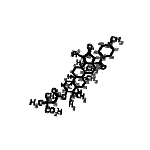 CC(C)C1=C2[C@H]3CC[C@@H]4[C@@]5(C)CC[C@H](OC(=O)CC(C)(C)C(=O)O)C(C)(C)[C@@H]5CC[C@@]4(C)[C@]3(C)CC[C@@]2(C(=O)N2CCN(C)CC2)CC1=O